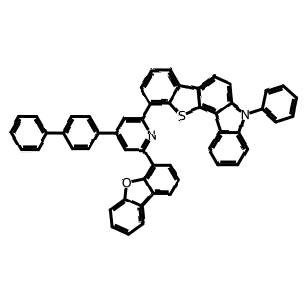 c1ccc(-c2ccc(-c3cc(-c4cccc5c4oc4ccccc45)nc(-c4cccc5c4sc4c5ccc5c4c4ccccc4n5-c4ccccc4)c3)cc2)cc1